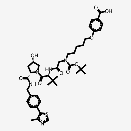 Cc1ncsc1-c1ccc(CNC(=O)[C@@H]2C[C@@H](O)CN2C(=O)[C@@H](NC(=O)CN(CCCCCOc2ccc(C(=O)O)cc2)C(=O)OC(C)(C)C)C(C)(C)C)cc1